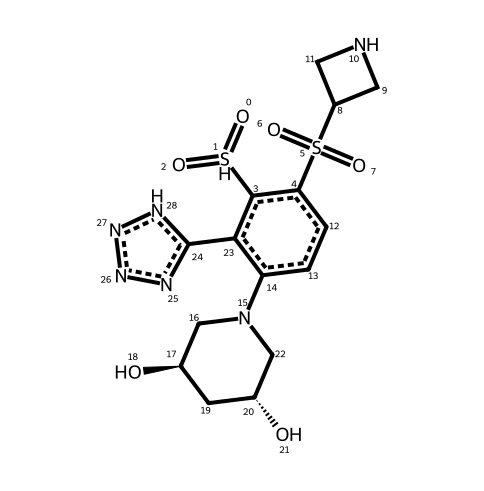 O=[SH](=O)c1c(S(=O)(=O)C2CNC2)ccc(N2C[C@H](O)C[C@@H](O)C2)c1-c1nnn[nH]1